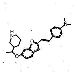 CC(Oc1ccc2cc(C=Cc3ccc(N(C)C)cc3)oc2c1)C1CCCNC1